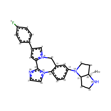 Fc1ccc(-c2cc3n(c2)Cc2cc(N4CC[C@H]5NCCC54)ccc2-n2ccnc2-3)cc1